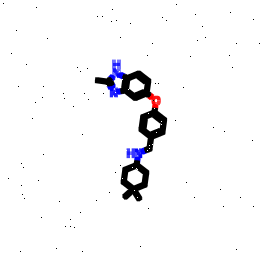 Cc1nc2cc(Oc3ccc(CNC4CCC(C)(C)CC4)cc3)ccc2[nH]1